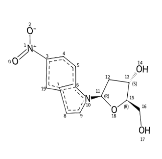 O=[N+]([O-])c1ccc2c(ccn2[C@H]2C[C@H](O)[C@@H](CO)O2)c1